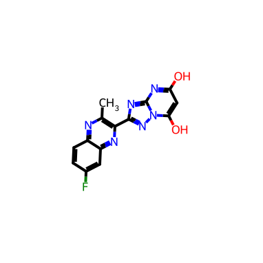 Cc1nc2ccc(F)cc2nc1-c1nc2nc(O)cc(O)n2n1